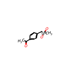 CC(=O)c1ccc(C[Te](C)(=O)=O)cc1